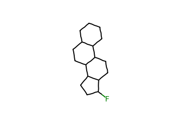 FC1CCC2C1CCC1C3CCCCC3CCC21